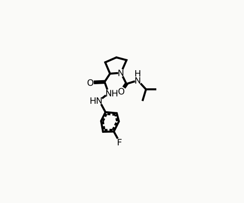 CC(C)NC(=O)N1CCCC1C(=O)NNc1ccc(F)cc1